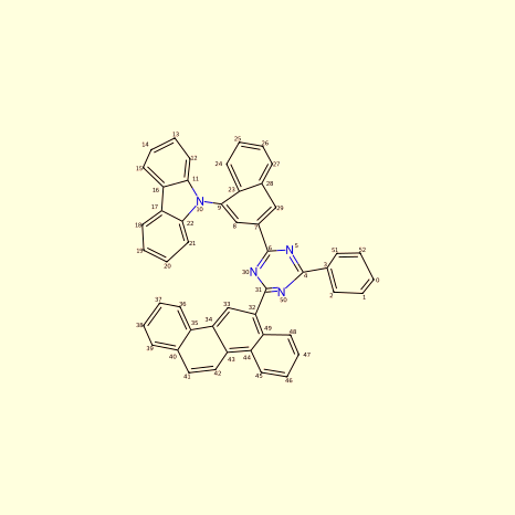 c1ccc(-c2nc(-c3cc(-n4c5ccccc5c5ccccc54)c4ccccc4c3)nc(-c3cc4c5ccccc5ccc4c4ccccc34)n2)cc1